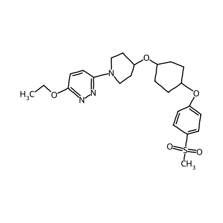 CCOc1ccc(N2CCC(OC3CCC(Oc4ccc(S(C)(=O)=O)cc4)CC3)CC2)nn1